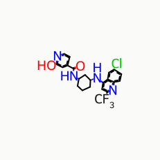 O=C(N[C@@H]1CCC[C@H](Nc2cc(C(F)(F)F)nc3ccc(Cl)cc23)C1)c1ccnc(O)c1